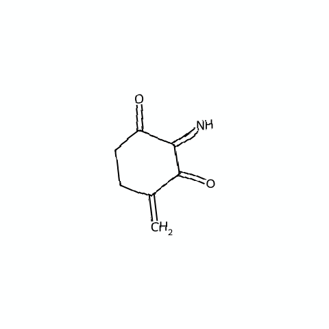 C=C1CCC(=O)C(=N)C1=O